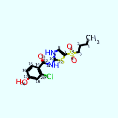 CCCCS(=O)(=O)C1=CNC(NC(=O)c2ccc(O)cc2Cl)S1